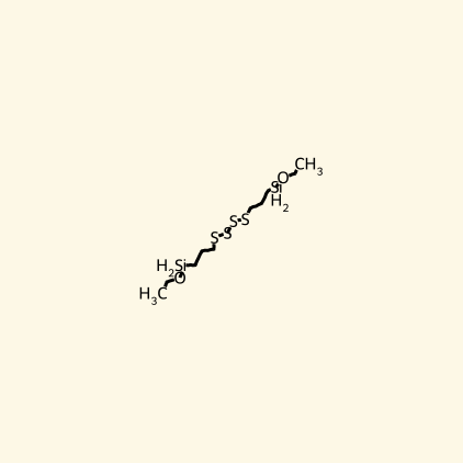 CCO[SiH2]CCCSSSSCCC[SiH2]OCC